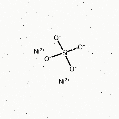 [Ni+2].[Ni+2].[O-][Si]([O-])([O-])[O-]